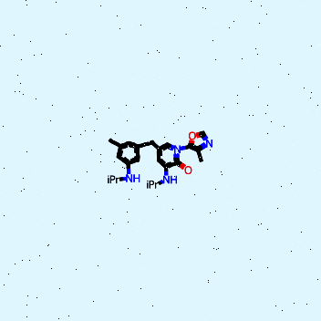 Cc1cc(Cc2cc(NC(C)C)c(=O)n(-c3ocnc3C)c2)cc(NC(C)C)c1